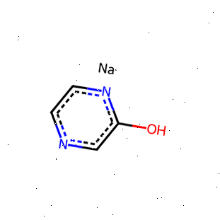 Oc1cnccn1.[Na]